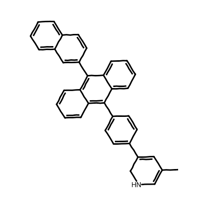 CC1=CNCC(c2ccc(-c3c4ccccc4c(-c4ccc5ccccc5c4)c4ccccc34)cc2)=C1